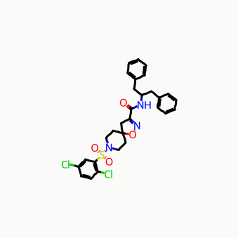 O=C(NC(Cc1ccccc1)Cc1ccccc1)C1=NOC2(CCN(S(=O)(=O)c3cc(Cl)ccc3Cl)CC2)C1